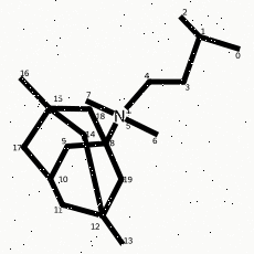 CC(C)CC[N+](C)(C)C12CC3CC(C)(CC(C)(C3)C1)C2